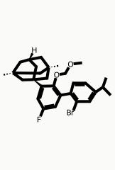 COCOc1c(-c2ccc(C(C)C)cc2Br)cc(F)cc1[C@@]12C[C@@H]3C[C@@](C)(C[C@@](C)(C3)C1)C2